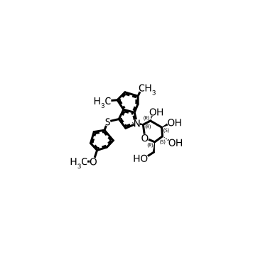 COc1ccc(Sc2cn([C@@H]3O[C@H](CO)[C@@H](O)[C@H](O)[C@H]3O)c3cc(C)cc(C)c23)cc1